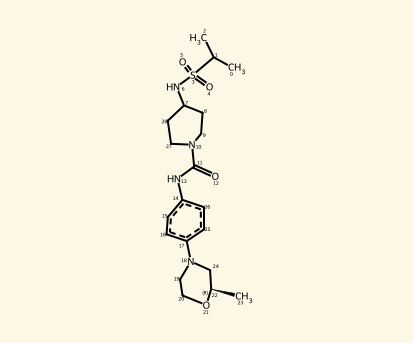 CC(C)S(=O)(=O)NC1CCN(C(=O)Nc2ccc(N3CCO[C@H](C)C3)cc2)CC1